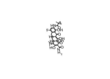 CN(C)[C@@H]1C(O)=C(C(N)=O)C(=O)[C@@]2(O)C(O)=C3C(=O)c4c(O)c(NC(=O)C5(C)CC5)cc(F)c4C[C@H]3C[C@@H]12